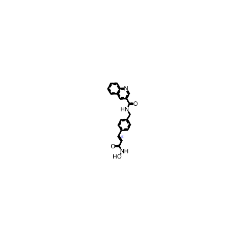 O=C(/C=C/c1ccc(CNC(=O)c2cnc3ccccc3c2)cc1)NO